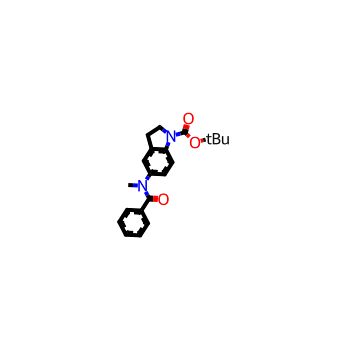 CN(C(=O)c1ccccc1)c1ccc2c(c1)CCN2C(=O)OC(C)(C)C